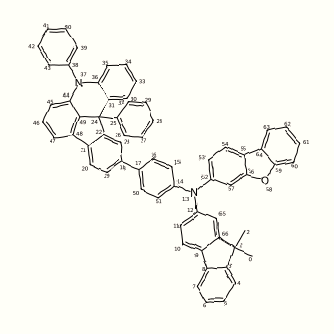 CC1(C)c2ccccc2-c2ccc(N(c3ccc(-c4ccc5c(c4)C4(c6ccccc6)c6ccccc6N(c6ccccc6)c6cccc-5c64)cc3)c3ccc4c(c3)oc3ccccc34)cc21